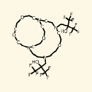 OC(CN1CCOCCN(CC(O)(C(F)(F)F)C(F)(F)F)CCN2CCOCCOCCN(CCOCC2)CC1)(C(F)(F)F)C(F)(F)F